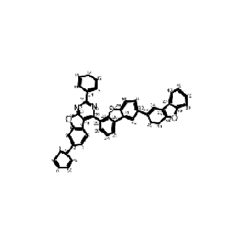 C1=CCC(c2ccc3c(c2)oc2nc(C4=CCCC=C4)nc(-c4cccc5c4sc4ccc(C6=Cc7c(oc8ccccc78)CC6)cc45)c23)C=C1